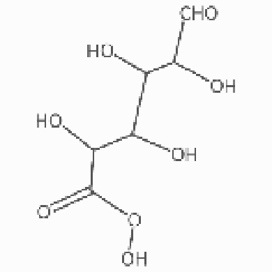 O=CC(O)C(O)C(O)C(O)C(=O)OO